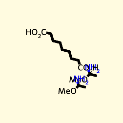 COC(C)N.COC(C)N.O=C(O)CCCCCCCC(=O)O